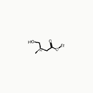 CCOC(=O)C[C@@H](C)CO